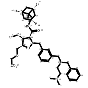 CCO[C@@H]1[C@H](COCC(=O)O)ON(Cc2cccc(CN(CCN(C)C)Cc3ccccc3)c2)[C@@H]1C(=O)N[C@@H]1C[C@@H]2C[C@H](C1)C2(C)C